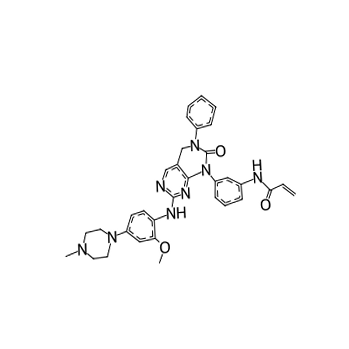 C=CC(=O)Nc1cccc(N2C(=O)N(c3ccccc3)Cc3cnc(Nc4ccc(N5CCN(C)CC5)cc4OC)nc32)c1